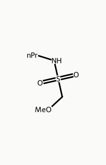 CCCNS(=O)(=O)COC